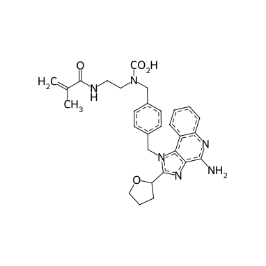 C=C(C)C(=O)NCCN(Cc1ccc(Cn2c(C3CCCO3)nc3c(N)nc4ccccc4c32)cc1)C(=O)O